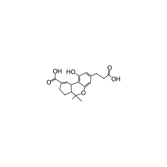 CC1(C)Oc2cc(CCC(=O)O)cc(O)c2C2C=C(C(=O)O)CCC21